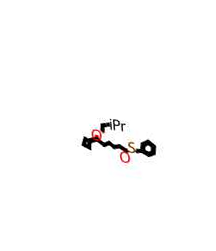 CC(C)CCOC(CCCCC(=O)SCc1ccccc1)=C1CCC1